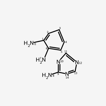 Nc1ccccc1N.Nc1ncncn1